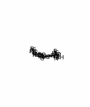 O=c1[nH]ncc(OCCOCCS(=O)(=O)N2CCN(c3ncc(C(F)(F)F)s3)CC2)c1C(F)(F)F